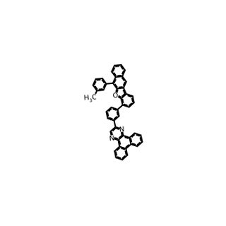 Cc1cccc(-c2c3ccccc3cc3c2oc2c(-c4cccc(-c5cnc6c7ccccc7c7ccccc7c6n5)c4)cccc23)c1